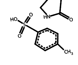 Cc1ccc(S(=O)(=O)O)cc1.O=C1CCCN1